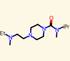 CCN(C)CCN1CCN(C(=O)N(C)C(C)C)CC1